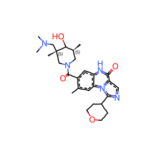 Cc1cc2c(cc1C(=O)N1C[C@H](C)C(O)[C@@](C)(CN(C)C)C1)[nH]c(=O)c1cnc(C3CCOCC3)n12